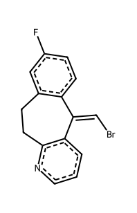 Fc1ccc2c(c1)CCc1ncccc1C2=CBr